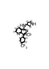 Cl.FC(F)(F)c1ccc(-c2cnc(NC3CCNC3)c3cccnc23)cc1